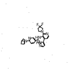 O=C(Nc1c(-c2ccn[nH]2)ccnc1N1CCC(F)(F)C1)c1ccc(N2CC3CC2C3)nc1